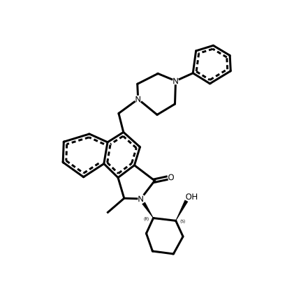 CC1c2c(cc(CN3CCN(c4ccccc4)CC3)c3ccccc23)C(=O)N1[C@@H]1CCCC[C@@H]1O